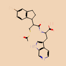 CC(=O)SCC(C(=O)NC(Cc1c[nH]c2cnccc12)C(=O)O)C1CCc2cc(Br)ccc21